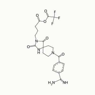 N=C(N)c1ccc(C(=O)N2CCC3(CC2)NC(=O)N(CCCC(=O)OC(=O)C(F)(F)F)C3=O)cc1